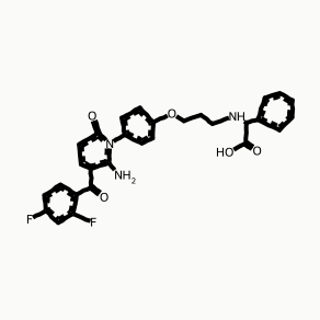 Nc1c(C(=O)c2ccc(F)cc2F)ccc(=O)n1-c1ccc(OCCCN[C@H](C(=O)O)c2ccccc2)cc1